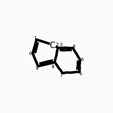 C1=CCC2=CC=CCC2=C1